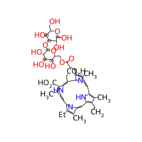 C=Cc1c(C)c2cc3nc(c(CC(=O)O)c4[nH]c(cc5nc(cc1[nH]2)C(C)=C5CC)c(C)c4C(=O)O)[C@@H](CCC(=O)OCC1O[C@@H](O[C@H]2C(O)[C@H](O)OC(CO)[C@H]2O)C(O)[C@H](O)[C@@H]1O)[C@@H]3C